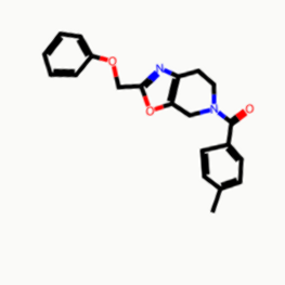 Cc1ccc(C(=O)N2CCc3nc(COc4ccccc4)oc3C2)cc1